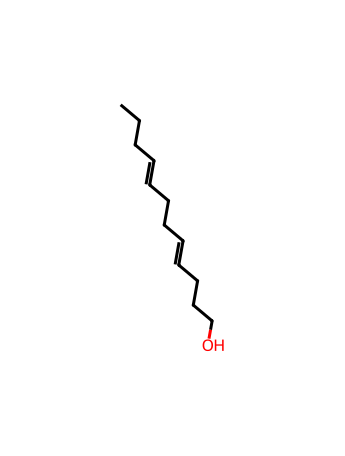 CCC/C=C/CC/C=C/CCCO